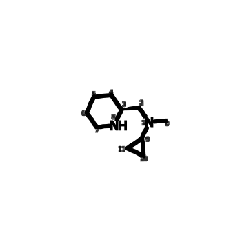 CN(C[C@@H]1CCCCN1)C1CC1